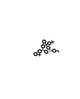 C=Cc1ccc(Oc2ccc(C3(c4ccc(C(C)(C)C)cc4)c4ccccc4-c4ccc(N(c5ccccc5)c5ccc6c(c5)C(C)(C)c5ccccc5-6)cc43)cc2)cc1